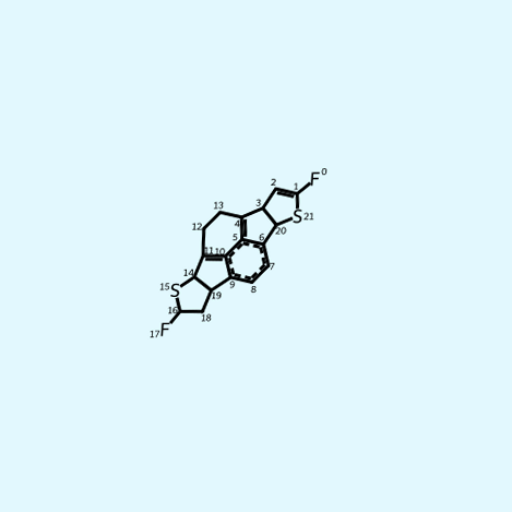 FC1=CC2C3=c4c(ccc5c4=C(CC3)C3SC(F)CC53)C2S1